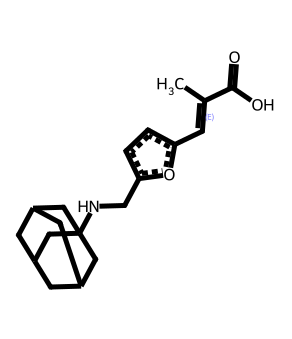 C/C(=C\c1ccc(CNC23CC4CC(CC(C4)C2)C3)o1)C(=O)O